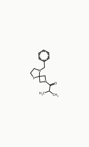 CC(C)C(=O)N1CC2(C1)SCCN2Cc1ccccc1